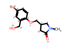 CN1CC(COc2ccc(Br)cc2CO)CC1=O